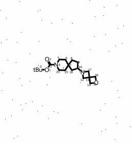 CC(C)(C)OC(=O)N1CCC2(CCC(N3CC4(COC4)C3)C2)CC1